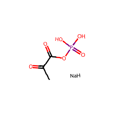 CC(=O)C(=O)OP(=O)(O)O.[NaH]